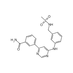 CS(=O)(=O)NCc1cccc(Nc2cc(-c3cccc(C(N)=O)c3)ncn2)c1